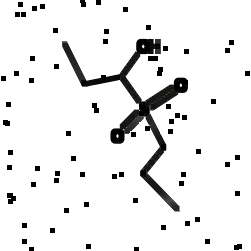 CCCS(=O)(=O)C(O)CC